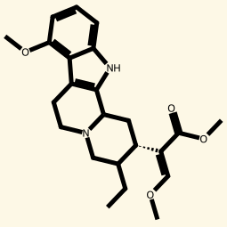 CCC1CN2CCc3c([nH]c4cccc(OC)c34)C2C[C@@H]1/C(=C\OC)C(=O)OC